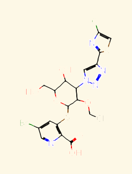 CCOC1C(Sc2cc(Br)cnc2C(=O)O)OC(CO)C(O)C1n1cc(-c2nc(Cl)cs2)nn1